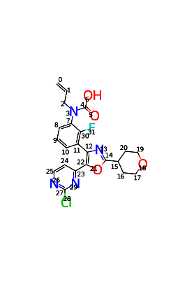 C=CCN(C(=O)O)c1cccc(-c2nc(C3CCOCC3)oc2-c2ccnc(Cl)n2)c1F